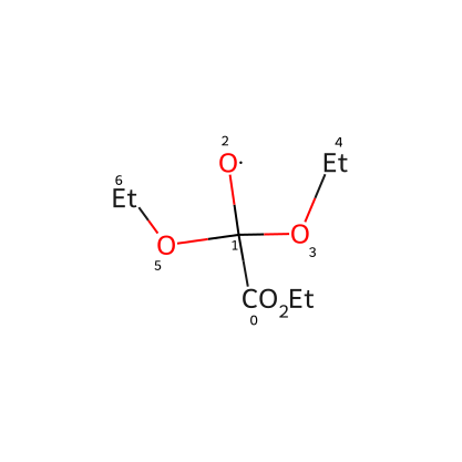 CCOC(=O)C([O])(OCC)OCC